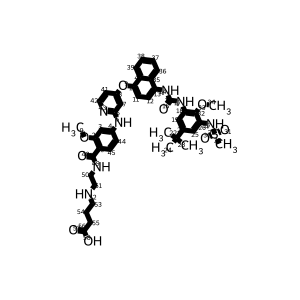 COc1cc(Nc2cc(Oc3ccc(NC(=O)Nc4cc(C(C)(C)C)cc(NS(C)(=O)=O)c4OC)c4ccccc34)ccn2)ccc1C(=O)NCCNCCCC(=O)O